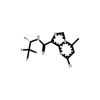 Cc1cc(Cl)nc2c(C(=O)N[C@@H](C)C(F)(F)F)ncn12